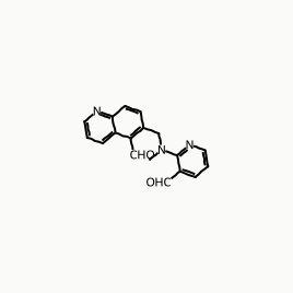 CN(Cc1ccc2ncccc2c1C=O)c1ncccc1C=O